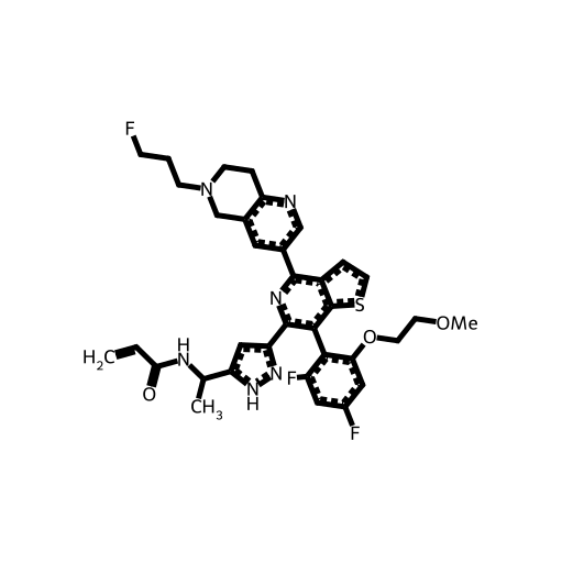 C=CC(=O)NC(C)c1cc(-c2nc(-c3cnc4c(c3)CN(CCCF)CC4)c3ccsc3c2-c2c(F)cc(F)cc2OCCOC)n[nH]1